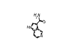 NC(=O)c1c[nH]c2ccncc12